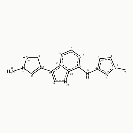 Cn1ccc(Nc2nccn3c(C4=CN(N)NC4)cnc23)n1